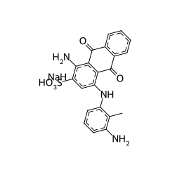 Cc1c(N)cccc1Nc1cc(S(=O)(=O)O)c(N)c2c1C(=O)c1ccccc1C2=O.[NaH]